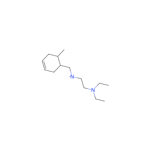 CCN(CC)CC[N]CC1CC=CCC1C